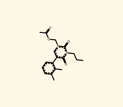 CCCn1c(=O)c(-c2cccc(C)c2C)cn(COC(C)=O)c1=O